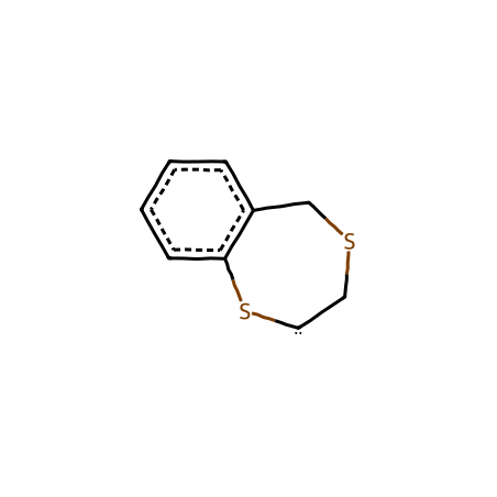 [C]1CSCc2ccccc2S1